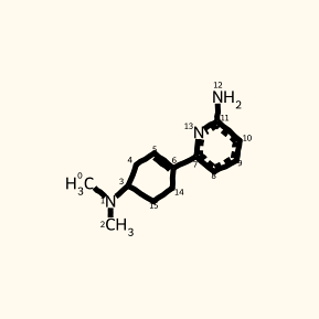 CN(C)C1CC=C(c2cccc(N)n2)CC1